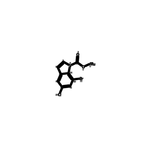 CC(C)(C)OC(=O)n1ccc2cc(Cl)cc(Br)c21